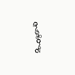 O=C(Oc1ccc(CCOc2ccccn2)cc1)N1CCN(CCc2ccccn2)CC1